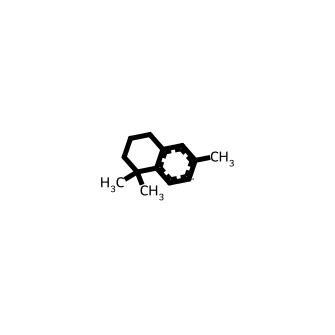 Cc1[c]cc2c(c1)CCCC2(C)C